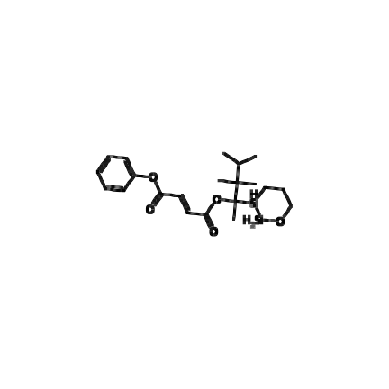 CC(C)C(C)(C)C(C)(OC(=O)C=CC(=O)Oc1ccccc1)[SiH]1CCCO[SiH2]1